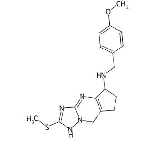 COc1ccc(CNC2CCC3=C2N=C2N=C(SC)NN2C3)cc1